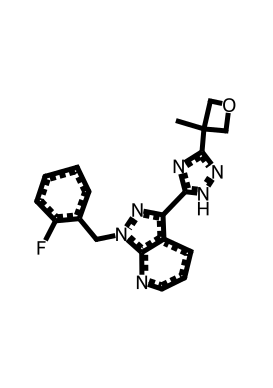 CC1(c2n[nH]c(-c3nn(Cc4ccccc4F)c4ncccc34)n2)COC1